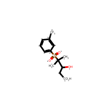 CC(C)(C(O)CC(=O)O)S(=O)(=O)c1cccc(C(F)(F)F)c1